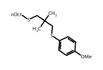 CCCCCCCCSCC(C)(C)CSc1ccc(OC)cc1